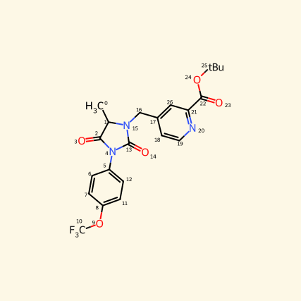 CC1C(=O)N(c2ccc(OC(F)(F)F)cc2)C(=O)N1Cc1ccnc(C(=O)OC(C)(C)C)c1